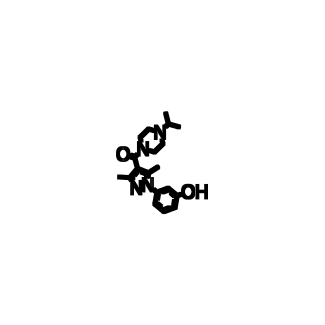 Cc1nn(-c2cccc(O)c2)c(C)c1C(=O)N1CCN(C(C)C)CC1